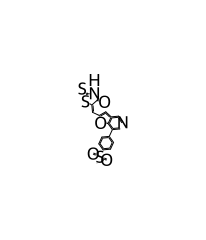 CS(=O)(=O)c1ccc(-c2cncc3cc(C=C4SC(=S)NC4=O)oc23)cc1